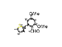 COc1cc(OC)c(C=O)c(-c2cccs2)c1